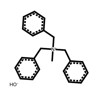 C[N+](Cc1ccccc1)(Cc1ccccc1)Cc1ccccc1.[OH-]